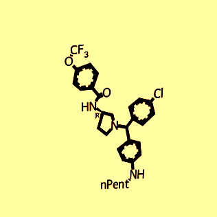 CCCCCNc1ccc(C(c2ccc(Cl)cc2)N2CC[C@@H](NC(=O)c3ccc(OC(F)(F)F)cc3)C2)cc1